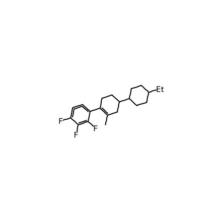 CCC1CCC(C2CCC(C3=C=C=C(F)C(F)=C3F)=C(C)C2)CC1